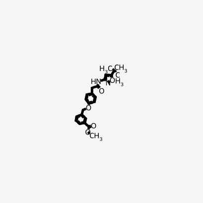 COC(=O)c1cccc(COc2ccc(CC(=O)Nc3cc(C(C)(C)C)on3)cc2)c1